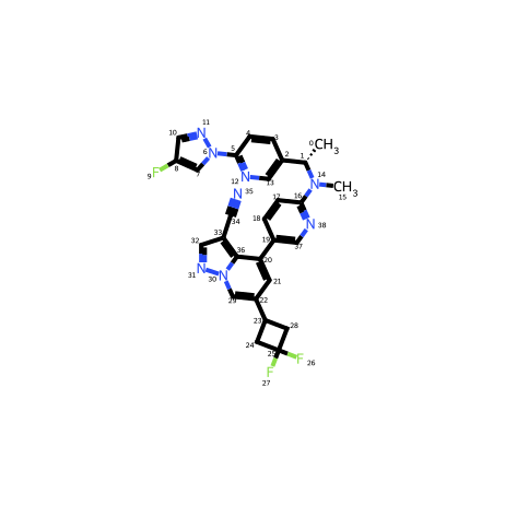 C[C@@H](c1ccc(-n2cc(F)cn2)nc1)N(C)c1ccc(-c2cc(C3CC(F)(F)C3)cn3ncc(C#N)c23)cn1